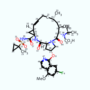 COc1cc(F)cc2c(O[C@@H]3C[C@H]4C(=O)N[C@]5(C(=O)NS(=O)(=O)C6(C)CC6)C[C@H]5C=CCC[C@H](C)C[C@@H](C)[C@H](N(C(=O)O)[C@H](C)C(F)(F)F)C(=O)N4C3)nccc12